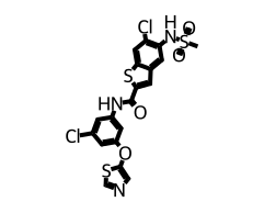 CS(=O)(=O)Nc1cc2cc(C(=O)Nc3cc(Cl)cc(Oc4cncs4)c3)sc2cc1Cl